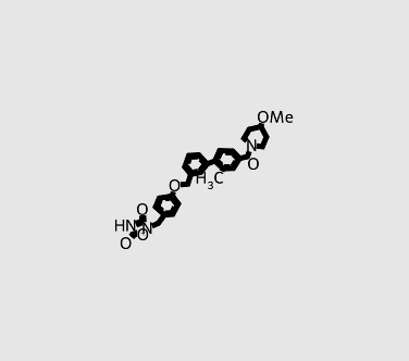 COC1CCN(C(=O)c2ccc(-c3cccc(COc4ccc(Cn5oc(=O)[nH]c5=O)cc4)c3)c(C)c2)CC1